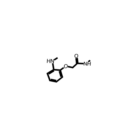 CNC(=O)COc1ccccc1NC